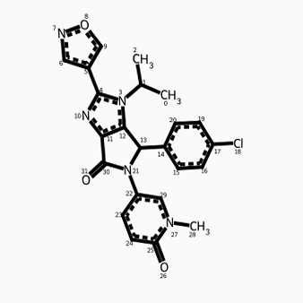 CC(C)n1c(-c2cnoc2)nc2c1C(c1ccc(Cl)cc1)N(c1ccc(=O)n(C)c1)C2=O